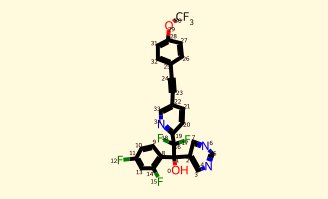 OC(c1cncnc1)(c1ccc(F)cc1F)C(F)(F)c1ccc(C#Cc2ccc(OC(F)(F)F)cc2)cn1